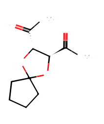 COC(=O)[C@H]1OC2(CCCC2)O[C@@H]1C(=O)OC